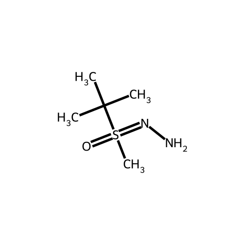 CC(C)(C)S(C)(=O)=NN